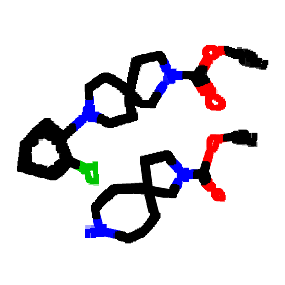 CC(C)(C)OC(=O)N1CCC2(CCN(c3ccccc3Cl)CC2)C1.CC(C)(C)OC(=O)N1CCC2(CCNCC2)C1